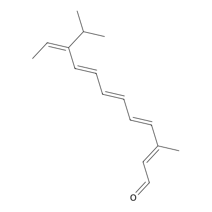 CC=C(C=CC=CC=CC(C)=CC=O)C(C)C